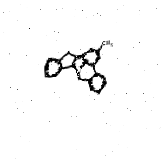 Cc1cc2c3c(c1)c1c(n3Cc3ccccc3-2)-c2ccccc2C1